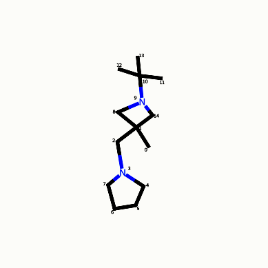 CC1(CN2CCCC2)CN(C(C)(C)C)C1